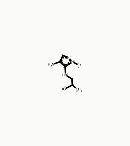 CCn1ncc(N)c1NCC(C)O